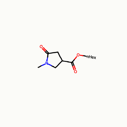 CCCCCCOC(=O)C1CC(=O)N(C)C1